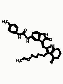 CCOOCCCc1c(/C=C2\C(=O)Nc3ccc(NC(=O)Nc4ccc(C)cc4)cc32)[nH]c2c1C(=O)CCC2